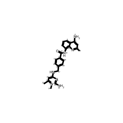 Cc1cc(N)c2cccc(NC(=O)c3ccc(CNc4cc(C)[n+](C)c(N)n4)cc3)c2n1